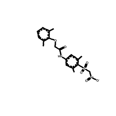 Cc1cccc(C)c1OCC(=O)Nc1cc(C)c(S(=O)(=O)C[N+](=O)[O-])c(C)c1